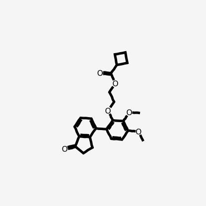 COc1ccc(-c2cccc3c2CCC3=O)c(OCCOC(=O)C2CCC2)c1OC